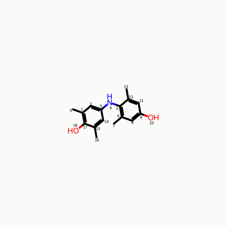 Cc1cc(Nc2c(C)cc(O)cc2C)cc(C)c1O